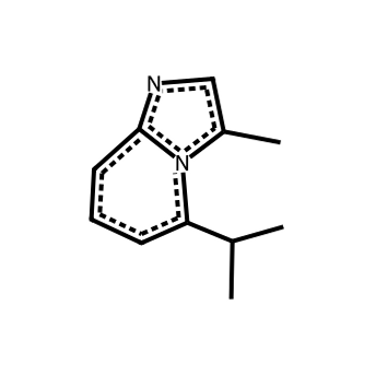 Cc1cnc2cccc(C(C)C)n12